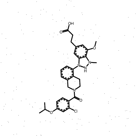 COc1cc(CCC(=O)O)cc2c1N(C)NN2c1cccc2c1CCN(C(=O)c1ccc(OC(C)C)cc1Cl)C2